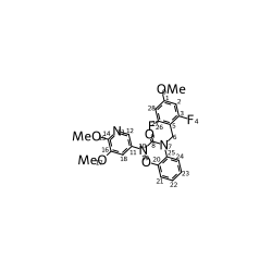 COc1cc(F)c(CN2C(=O)N(c3cnc(OC)c(OC)c3)Oc3ccccc32)c(F)c1